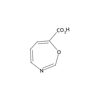 O=C(O)C1=CC=CN=CO1